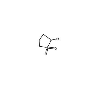 [CH2]CN1CCCS1(=O)=O